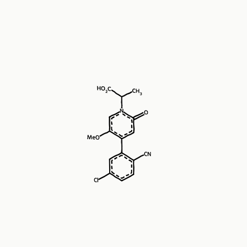 COc1cn(C(C)C(=O)O)c(=O)cc1-c1cc(Cl)ccc1C#N